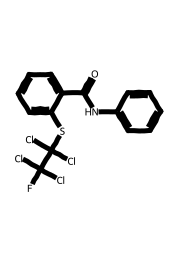 O=C(Nc1ccccc1)c1ccccc1SC(Cl)(Cl)C(F)(Cl)Cl